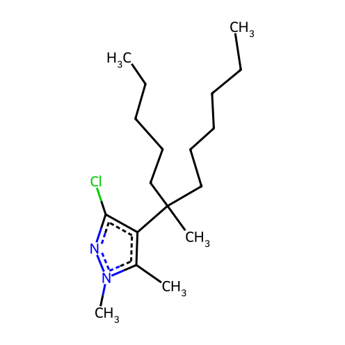 CCCCCCC(C)(CCCCC)c1c(Cl)nn(C)c1C